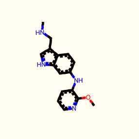 CNCc1c[nH]c2cc(Nc3cccnc3OC)ccc12